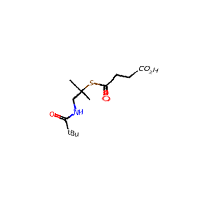 CC(C)(CNC(=O)C(C)(C)C)SC(=O)CCC(=O)O